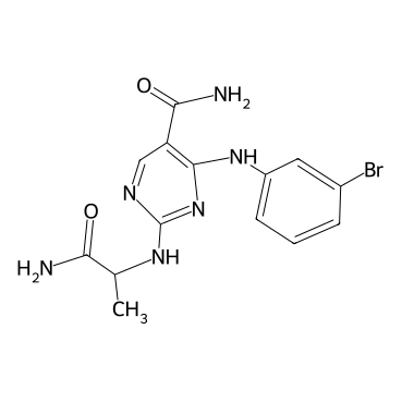 CC(Nc1ncc(C(N)=O)c(Nc2cccc(Br)c2)n1)C(N)=O